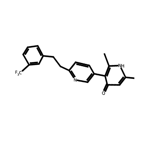 Cc1cc(=O)c(-c2ccc(CCc3cccc(C(F)(F)F)c3)nc2)c(C)[nH]1